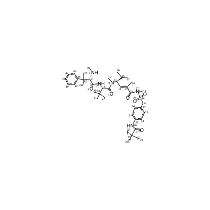 CN[C@H](C(=O)N[C@H](C(=O)N(C)[C@H](/C=C(\C)C(=O)NS(=O)(=O)Cc1ccc(NC(=O)C(F)(F)F)cc1)C(C)C)C(C)(C)C)C(C)(C)c1ccccc1